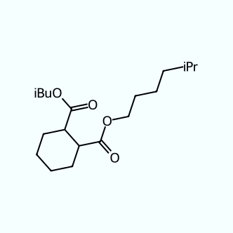 CC(C)CCCCOC(=O)C1CCCCC1C(=O)OCC(C)C